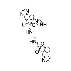 O=C1c2cccc3c2c(cc2nccnc23)C(=O)N1CCNCCCNCCN1C(=O)c2cc3nccnc3c3ccc(N4CCNCC4)c(c23)C1=O